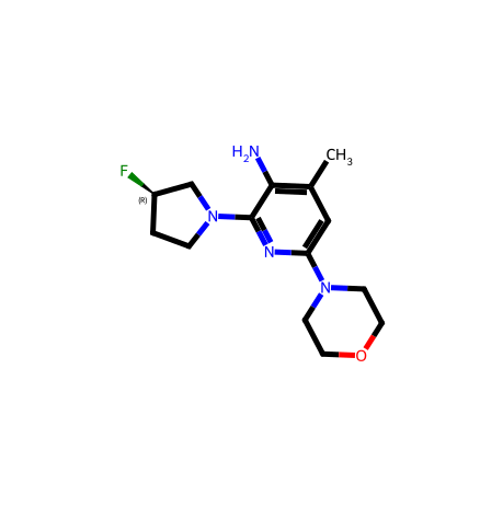 Cc1cc(N2CCOCC2)nc(N2CC[C@@H](F)C2)c1N